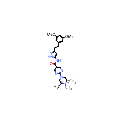 COc1cc(CCc2cc(NC(=O)c3cnc(N4C[C@@H](C)N(C)[C@@H](C)C4)nc3)[nH]n2)cc(OC)c1